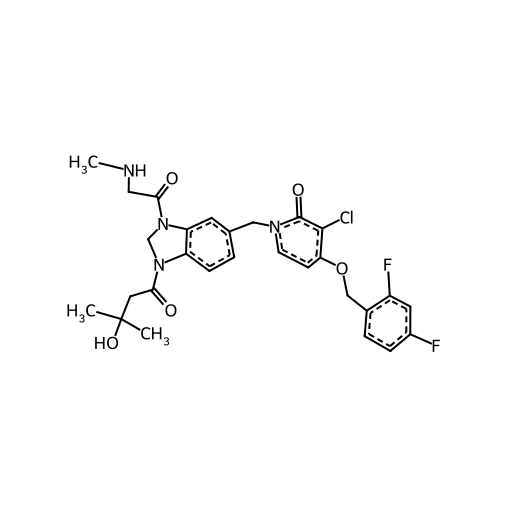 CNCC(=O)N1CN(C(=O)CC(C)(C)O)c2ccc(Cn3ccc(OCc4ccc(F)cc4F)c(Cl)c3=O)cc21